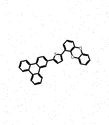 c1ccc2c(c1)Oc1cccc(-c3ccc(-c4ccc5c6ccccc6c6ccccc6c5c4)s3)c1O2